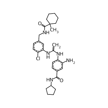 C=C(Nc1ccc(C(=O)NC2CCCC2)cc1N)Nc1cc(CNC(=O)C2(C)CCCCC2)ccc1Cl